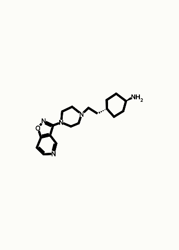 N[C@H]1CC[C@H](CCN2CCN(c3noc4ccncc34)CC2)CC1